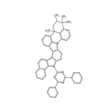 CC1CC2(C)c3c(cccc3C1(C)C)-n1c3ccc4c(c5ccc6ccccc6c5n4-c4nc(-c5ccccc5)nc(-c5ccccc5)n4)c3c3cccc2c31